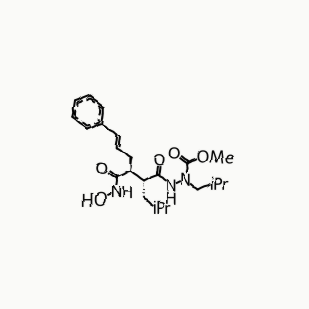 COC(=O)N(CC(C)C)NC(=O)[C@H](CC(C)C)[C@H](C/C=C/c1ccccc1)C(=O)NO